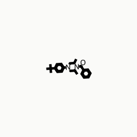 CC1CN(c2ccc(C(C)(C)C)cc2)CC(C)N1C(=O)c1ccccc1